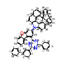 c1ccc(-c2cccc(-c3nc(-c4ccccc4)nc(-c4cc(-n5c6cccc7c6c6c8c(cccc8ccc65)C75c6ccccc6-c6ccccc65)cc5oc6ccccc6c45)n3)c2)cc1